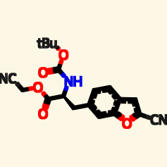 CC(C)(C)OC(=O)N[C@@H](Cc1ccc2cc(C#N)oc2c1)C(=O)OCC#N